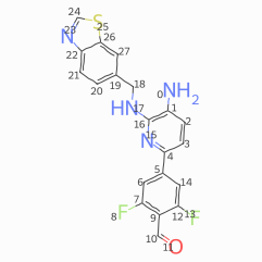 Nc1ccc(-c2cc(F)c(C=O)c(F)c2)nc1NCc1ccc2ncsc2c1